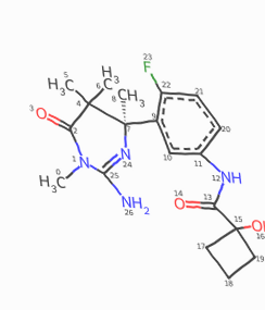 CN1C(=O)C(C)(C)[C@@](C)(c2cc(NC(=O)C3(O)CCC3)ccc2F)N=C1N